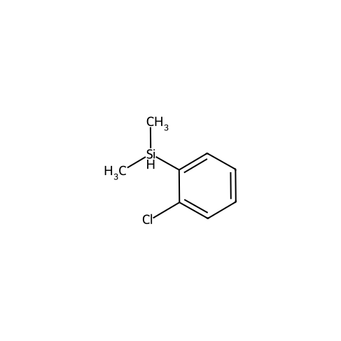 C[SiH](C)c1ccccc1Cl